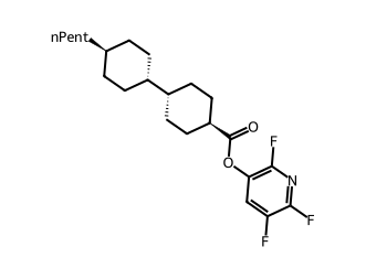 CCCCC[C@H]1CC[C@H]([C@H]2CC[C@H](C(=O)Oc3cc(F)c(F)nc3F)CC2)CC1